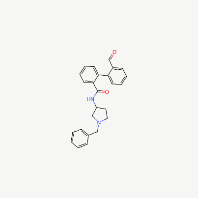 O=Cc1ccccc1-c1ccccc1C(=O)NC1CCN(Cc2ccccc2)C1